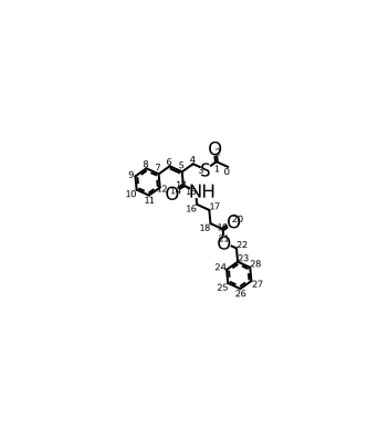 CC(=O)SC/C(=C/c1ccccc1)C(=O)NCCCC(=O)OCc1ccccc1